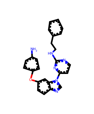 Nc1ccc(Oc2ccc3ncn(-c4ccnc(NCCc5ccccc5)n4)c3c2)cc1